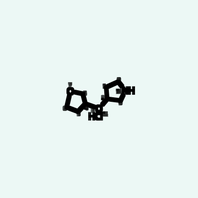 C1CC(OC2CCOC2)CN1.Cl